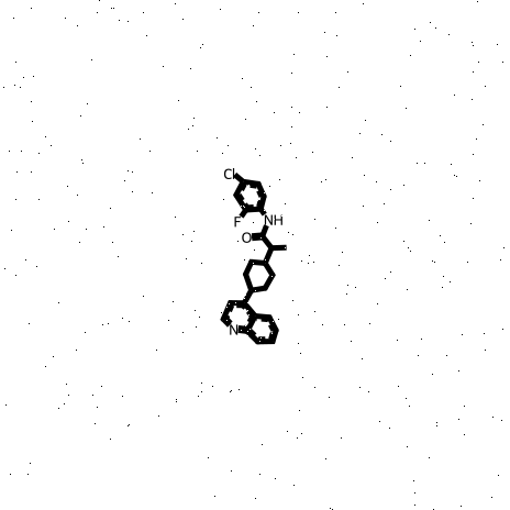 CC(C(=O)Nc1ccc(Cl)cc1F)C1CCC(c2ccnc3ccccc23)CC1